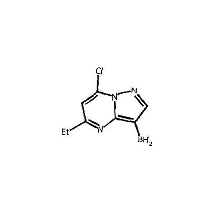 Bc1cnn2c(Cl)cc(CC)nc12